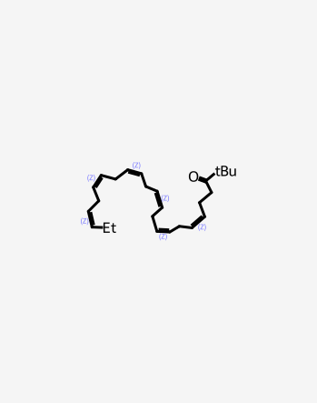 CC/C=C\C/C=C\C/C=C\C/C=C\C/C=C\C/C=C\CCC(=O)C(C)(C)C